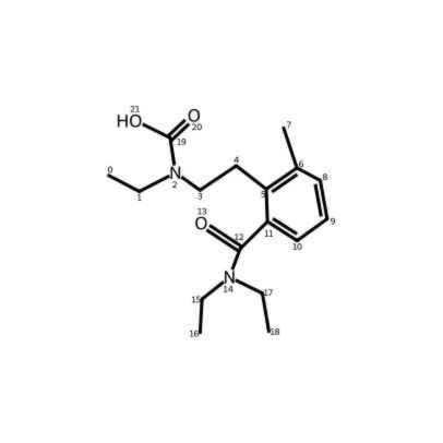 CCN(CCc1c(C)cccc1C(=O)N(CC)CC)C(=O)O